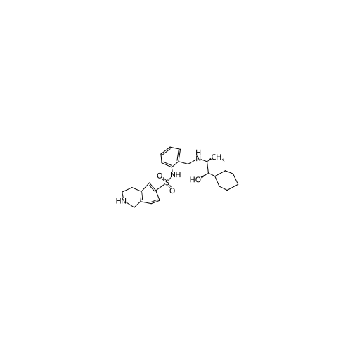 C[C@H](NCc1ccccc1NS(=O)(=O)c1ccc2c(c1)CCNC2)[C@H](O)C1CCCCC1